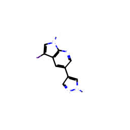 Cn1cc(-c2cnc3c(c2)c(I)cn3C)cn1